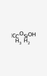 CO[SiH2]O.[C]